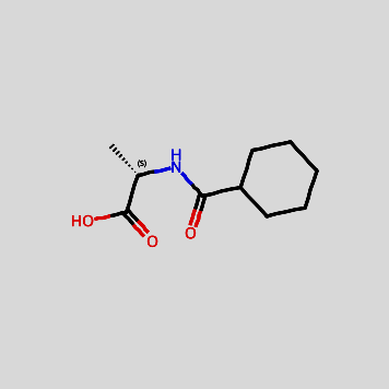 C[C@H](NC(=O)C1CCCCC1)C(=O)O